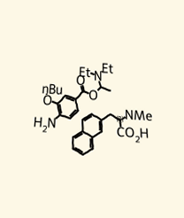 CCCCOc1cc(C(=O)OC(C)N(CC)CC)ccc1N.CN[C@H](Cc1ccc2ccccc2c1)C(=O)O